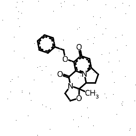 CC12OCCN1C(=O)c1c(OCc3ccccc3)c(=O)cc3n1C2CC3